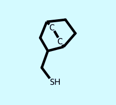 SCC1CC2CCC1CC2